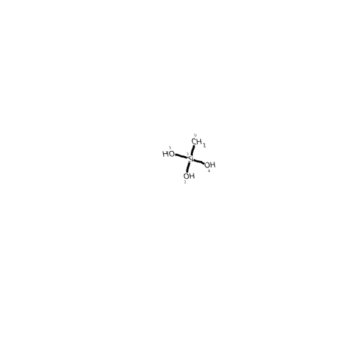 C[Si](O)(O)O